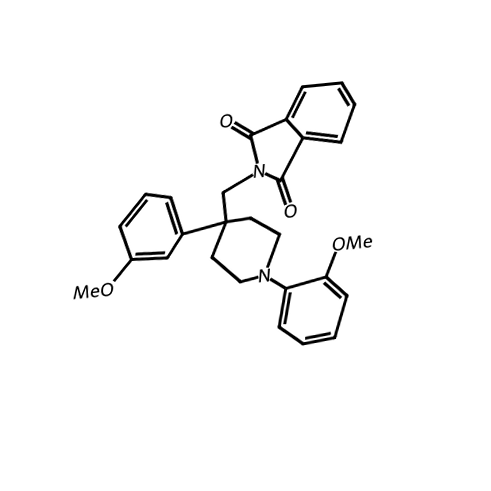 COc1cccc(C2(CN3C(=O)c4ccccc4C3=O)CCN(c3ccccc3OC)CC2)c1